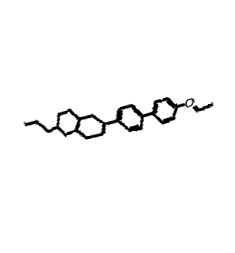 CCCC1CCC2CC(c3ccc(-c4ccc(OCC)cc4)cc3)CCC2C1